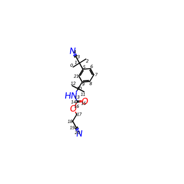 CC(C)(C#N)c1cccc(C(C)(C)NC(=O)OCCC#N)c1